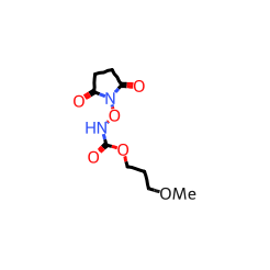 COCCCOC(=O)NON1C(=O)CCC1=O